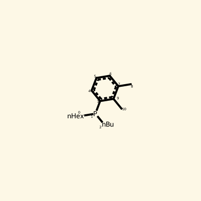 CCCCCCP(CCCC)c1cccc(C)c1C